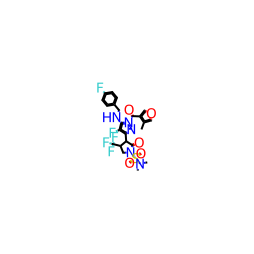 Cc1cocc1C(=O)n1nc(C2C(=O)N(S(=O)(=O)N(C)C)CC2C(F)(F)F)c(F)c1NCc1ccc(F)cc1